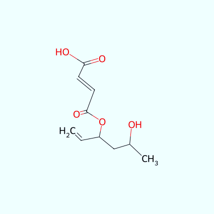 C=CC(CC(C)O)OC(=O)C=CC(=O)O